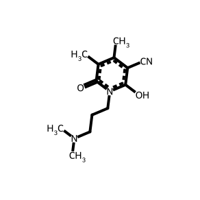 Cc1c(C#N)c(O)n(CCCN(C)C)c(=O)c1C